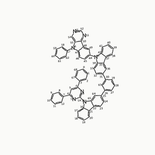 c1ccc(-c2cc(-c3ccccc3)nc(-n3c4ccccc4c4ccc(-c5cccc(-c6ccc7c(c6)c6ccccc6n7-c6ccc7c(c6)c6ncncc6n7-c6ccccc6)c5)cc43)n2)cc1